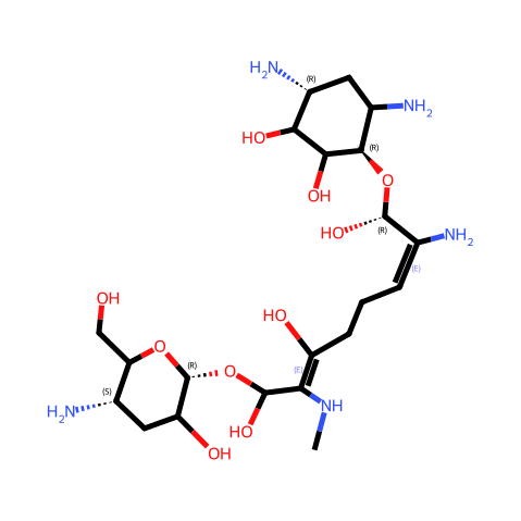 CN/C(=C(/O)CC/C=C(/N)[C@H](O)O[C@@H]1C(N)C[C@@H](N)C(O)C1O)C(O)O[C@H]1OC(CO)[C@@H](N)CC1O